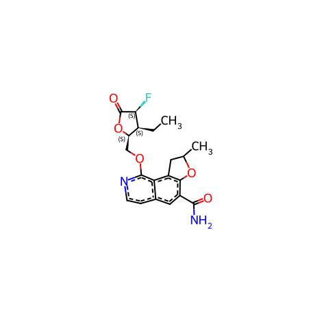 CC[C@@H]1[C@H](F)C(=O)O[C@@H]1COc1nccc2cc(C(N)=O)c3c(c12)CC(C)O3